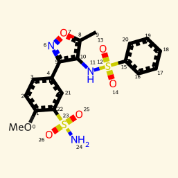 COc1ccc(-c2noc(C)c2NS(=O)(=O)c2ccccc2)cc1S(N)(=O)=O